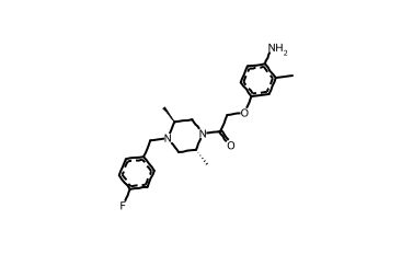 Cc1cc(OCC(=O)N2C[C@H](C)N(Cc3ccc(F)cc3)C[C@H]2C)ccc1N